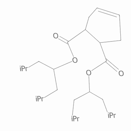 CC(C)CC(CC(C)C)OC(=O)C1CC=CCC1C(=O)OC(CC(C)C)CC(C)C